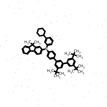 CC(C)(C)c1cc(-c2ccc(N(c3cccc(C4CCCCC4)c3)c3ccc4c(c3)C(C)(C)c3ccccc3-4)cc2)cc(-c2cc(C(C)(C)C)cc(C(C)(C)C)c2)c1